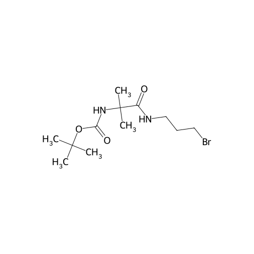 CC(C)(C)OC(=O)NC(C)(C)C(=O)NCCCBr